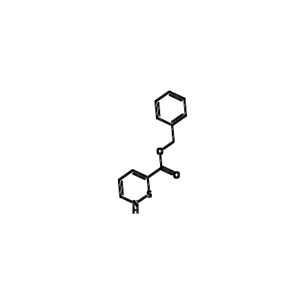 O=C(OCc1ccccc1)C1=CC=CNS1